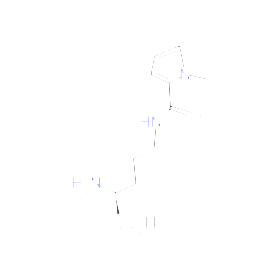 Cn1cccc1C(=O)NCCC[C@H](N)C(=O)O